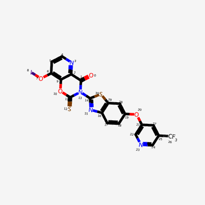 O=c1c2nccc(OI)c2oc(=S)n1-c1nc2ccc(Oc3cncc(C(F)(F)F)c3)cc2s1